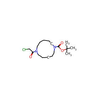 CC(C)(C)OC(=O)N1CCCCCN(C(=O)CCl)CCCCC1